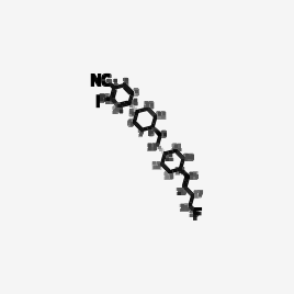 N#Cc1ccc([C@H]2CC[C@H](CC[C@H]3CC[C@H](C=CCCF)CC3)CC2)cc1F